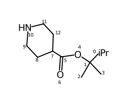 CC(C)C(C)(C)OC(=O)C1CCNCC1